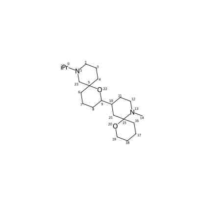 CC(C)N1CCCC2(CCCC(C3CCN(C)C4(CCCCO4)C3)O2)C1